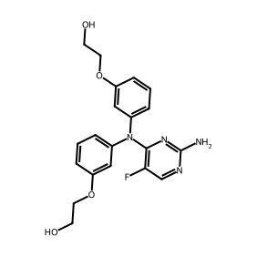 Nc1ncc(F)c(N(c2cccc(OCCO)c2)c2cccc(OCCO)c2)n1